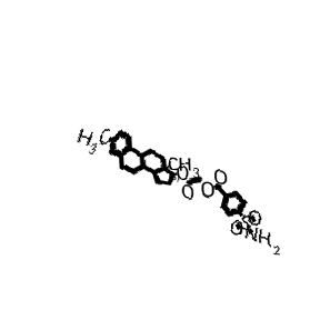 Cc1ccc2c(c1)CCC1C2CC[C@@]2(C)C1CC[C@@H]2OC(=O)COC(=O)c1ccc(S(N)(=O)=O)cc1